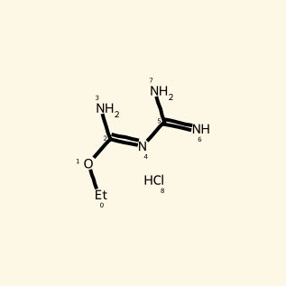 CCOC(N)=NC(=N)N.Cl